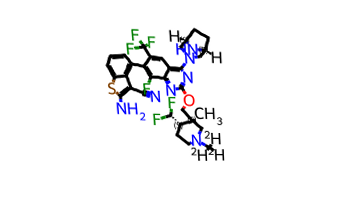 [2H]C([2H])([2H])N1CC[C@H](C(F)F)[C@](C)(COc2nc(N3C[C@H]4CC[C@@H](C3)N4)c3cc(C(F)(F)F)c(-c4cccc5sc(N)c(C#N)c45)c(F)c3n2)C1